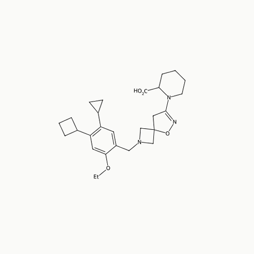 CCOc1cc(C2CCC2)c(C2CC2)cc1CN1CC2(CC(N3CCCCC3C(=O)O)=NO2)C1